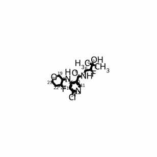 CC(C)(O)C(F)CNC(=O)c1cnc(Cl)cc1NC1COCCC1F